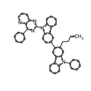 C=CCCc1cc2c(cc1-c1ccc3c(c1)c1ccccc1n3-c1nc(-c3ccccc3)c3ncccc3n1)c1ccccc1n2-c1ccccc1